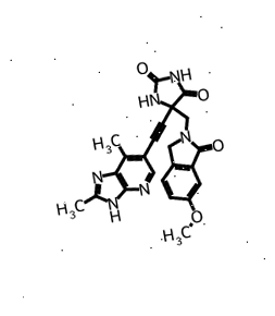 COc1ccc2c(c1)C(=O)N(CC1(C#Cc3cnc4[nH]c(C)nc4c3C)NC(=O)NC1=O)C2